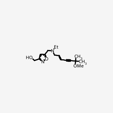 CCN(CC=CC#CC(C)(C)OC)Cc1cc(CO)no1